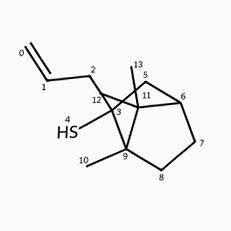 C=CCC1(S)CC2CCC1(C)C2(C)C